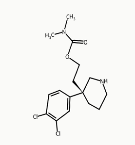 CN(C)C(=O)OCC[C@]1(c2ccc(Cl)c(Cl)c2)CCCNC1